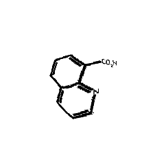 O=C(O)c1cccc2cc[c]nc12